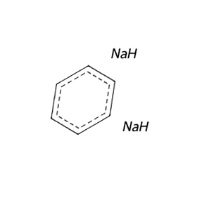 [NaH].[NaH].c1ccccc1